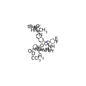 CC(C)[C@@H](CN[C@@H](C)C(=O)N1CCC[C@@H](C(=O)OCC(Cl)(Cl)Cl)N1)NC(=O)C1(/C=C/c2ccc3ccc([C@@H](C)N[S@+]([O-])C(C)(C)C)nc3c2)CCC(F)(F)CC1